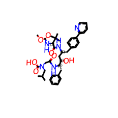 COC(=O)N[C@H](C(=O)N[C@@H](Cc1ccc(-c2ccccn2)cc1)C[C@H](O)[C@H](Cc1ccccc1)NC(=O)CN(CC(C)C)C(=O)O)C(C)(C)C